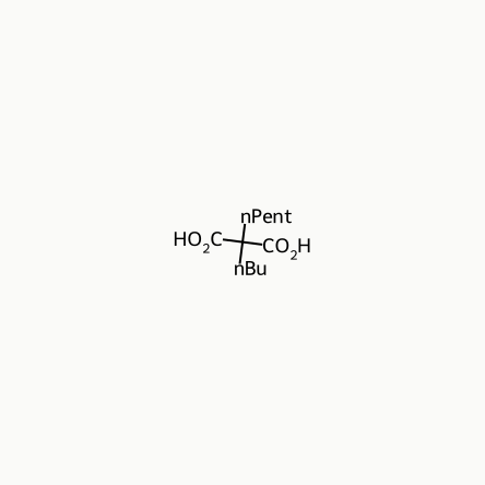 CCCCCC(CCCC)(C(=O)O)C(=O)O